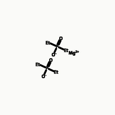 CCP(=O)([O-])CC.CCP(=O)([O-])CC.[Mg+2]